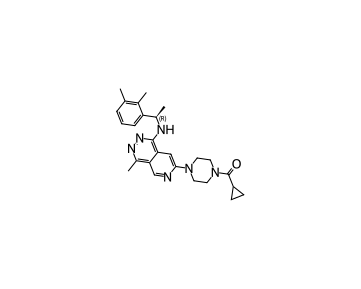 Cc1cccc([C@@H](C)Nc2nnc(C)c3cnc(N4CCN(C(=O)C5CC5)CC4)cc23)c1C